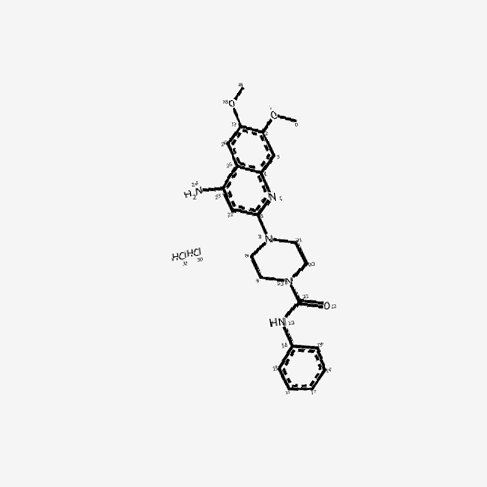 COc1cc2nc(N3CCN(C(=O)Nc4ccccc4)CC3)cc(N)c2cc1OC.Cl.Cl